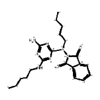 CCCCCNc1nc(N)nc(N(CCCCC)N2C(=O)c3ccccc3C2=O)n1